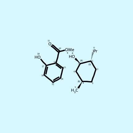 CC(C)[C@@H]1CC[C@@H](C)C[C@H]1O.COC(=O)c1ccccc1O